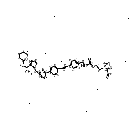 C[C@H](OC1CCCCO1)c1nccn1Cc1cc(-c2ccc(C#Cc3ccc(CNC(=O)OCCn4cnnc4C#N)cc3)cc2)on1